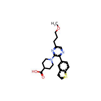 COCCCc1cnc(-c2ccc3sccc3c2)c(N2CCC(C(=O)O)CC2)n1